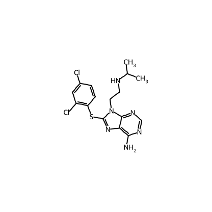 CC(C)NCCn1c(Sc2ccc(Cl)cc2Cl)nc2c(N)ncnc21